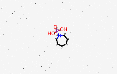 O=P(O)(O)N1CCCCCC1